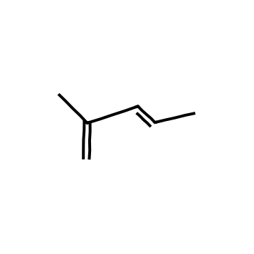 C=C(C)/C=C/C